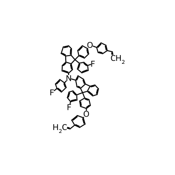 C=Cc1ccc(Oc2ccc(C3(c4cccc(F)c4)c4ccccc4-c4ccc(N(c5ccc(F)cc5)c5ccc6c(c5)C(c5ccc(Oc7ccc(C=C)cc7)cc5)(c5cccc(F)c5)c5ccccc5-6)cc43)cc2)cc1